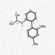 CC(C)(C)c1ccc(-c2ccccc2OP(O)O)c(C(C)(C)C)c1